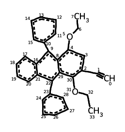 C#Cc1cc(OCC)c2c(-c3ccccc3)c3ccccc3c(-c3ccccc3)c2c1OCC